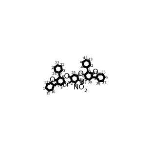 O=[N+]([O-])c1c(Br)c(Oc2ccc3c(oc4ccccc43)c2-c2ccccc2)cc(Oc2ccc3c(oc4ccccc43)c2-c2ccccc2)c1Br